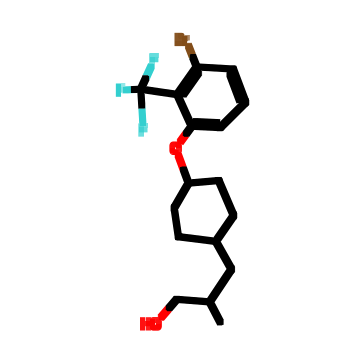 CC(CO)CC1CCC(Oc2cccc(Br)c2C(F)(F)F)CC1